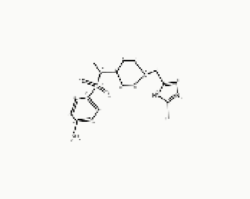 Cc1ncc(CN2CCC(N(C)S(=O)(=O)c3ccc(N)cc3)CC2)[nH]1